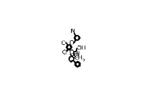 CC1C(c2ccccc2)=CC=CC1(COc1cc(OCc2cccc(C#N)c2)c(C=O)cc1Cl)c1cc(CO)no1